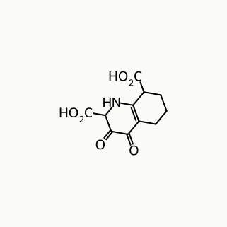 O=C1C(=O)C(C(=O)O)NC2=C1CCCC2C(=O)O